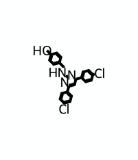 Oc1ccc(CNc2nc(-c3ccc(Cl)cc3)cc(-c3ccc(Cl)cc3)n2)cc1